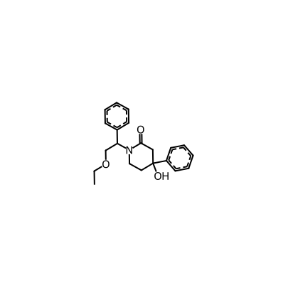 CCOCC(c1ccccc1)N1CCC(O)(c2ccccc2)CC1=O